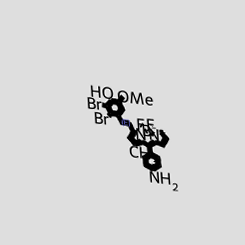 COc1cc(/C=C/c2cc(C)c3n2[B-](F)(F)[N+]2=CC=CC2=C3c2ccc(N)cc2)c(Br)c(Br)c1O